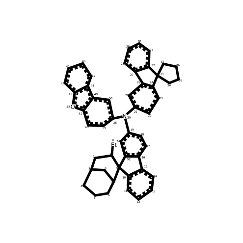 CCC1CC2CCCC(C2)C12c1ccccc1-c1ccc(N(c3ccc4c(c3)-c3ccccc3C43CCCC3)c3ccc4oc5ccccc5c4c3)cc12